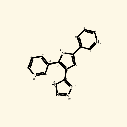 c1cncc(-c2cc(-c3nnn[nH]3)c(-c3cccnc3)s2)c1